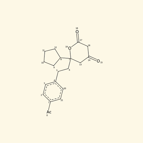 CC(=O)c1ccc(CCC2(C3CCCC3)CC(=O)CC(=O)O2)cc1